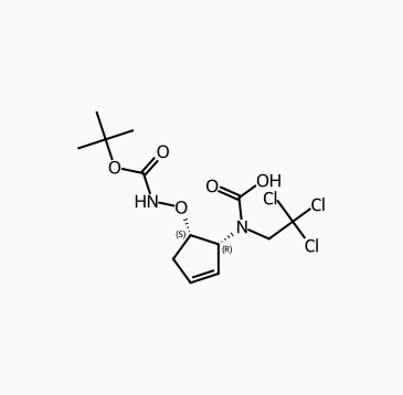 CC(C)(C)OC(=O)NO[C@H]1CC=C[C@H]1N(CC(Cl)(Cl)Cl)C(=O)O